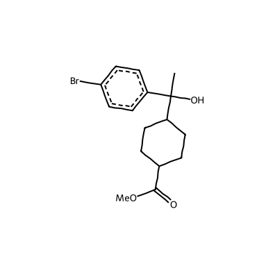 COC(=O)C1CCC(C(C)(O)c2ccc(Br)cc2)CC1